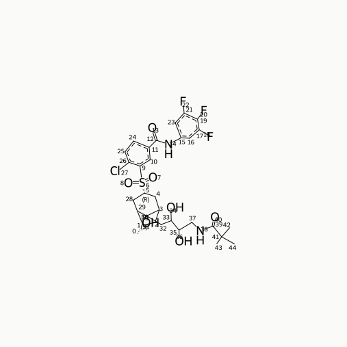 C[C@H]1CC2C[C@@H](S(=O)(=O)c3cc(C(=O)Nc4cc(F)c(F)c(F)c4)ccc3Cl)CC1[C@@]2(O)CC(O)C(O)CNC(=O)C(C)(C)C